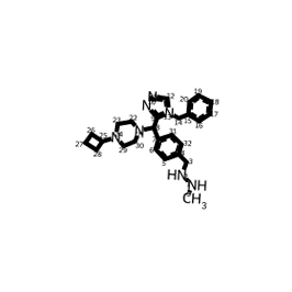 CNNCc1ccc(C(c2nncn2Cc2ccccc2)N2CCN(C3CCC3)CC2)cc1